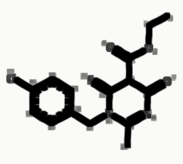 CCOC(=O)C1C(=O)N=C(C)N(Cc2ccc(Cl)cc2)C1=S